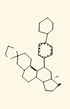 C[C@]12CC(c3ccc(C4CCCCC4)cc3)C3=C4CCC5(C[C@]4(O)CCC3C1CCC2=O)OCCO5